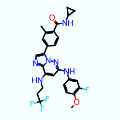 COc1ccc(Nc2cc(NCCC(F)(F)F)c3ncc(-c4ccc(C(=O)NC5CC5)c(C)c4)n3n2)cc1F